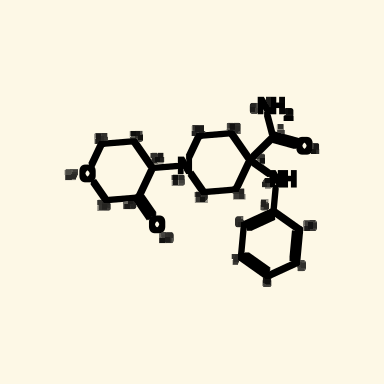 NC(=O)C1(Nc2ccccc2)CCN(C2CCOCC2=O)CC1